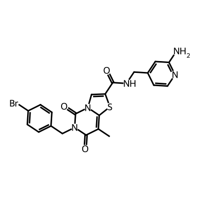 Cc1c(=O)n(Cc2ccc(Br)cc2)c(=O)n2cc(C(=O)NCc3ccnc(N)c3)sc12